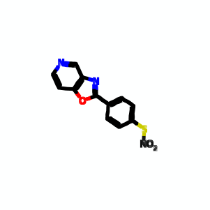 O=[N+]([O-])Sc1ccc(-c2nc3cnccc3o2)cc1